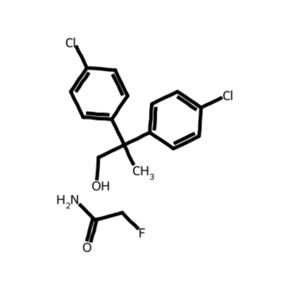 CC(CO)(c1ccc(Cl)cc1)c1ccc(Cl)cc1.NC(=O)CF